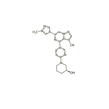 Cn1cc(-c2cn3ncc(C#N)c3c(-c3ccc(N4CCC[C@H](O)C4)nc3)n2)cn1